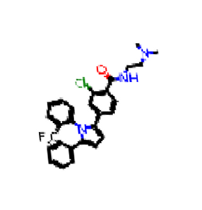 CN(C)CCNC(=O)c1ccc(-c2ccc(-c3ccccc3)n2-c2ccccc2C(F)(F)F)cc1Cl